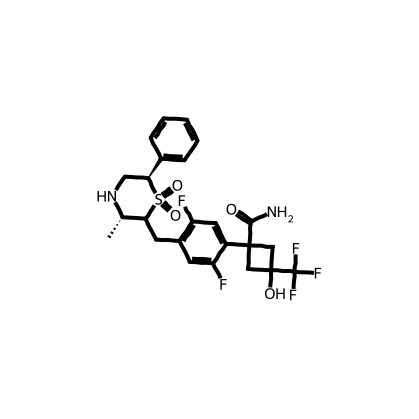 C[C@@H]1NC[C@@H](c2ccccc2)S(=O)(=O)C1Cc1cc(F)c(C2(C(N)=O)CC(O)(C(F)(F)F)C2)cc1F